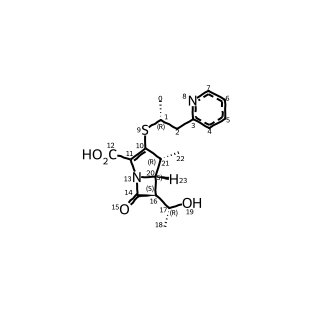 C[C@H](Cc1ccccn1)SC1=C(C(=O)O)N2C(=O)[C@H]([C@@H](C)O)[C@H]2[C@H]1C